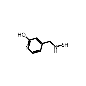 Oc1cc(CNS)ccn1